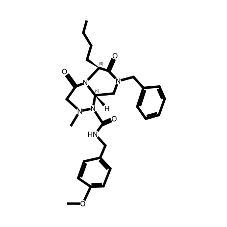 CCCC[C@H]1C(=O)N(Cc2ccccc2)C[C@H]2N1C(=O)CN(C)N2C(=O)NCc1ccc(OC)cc1